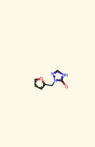 O=c1[nH]cnn1Cc1ccco1